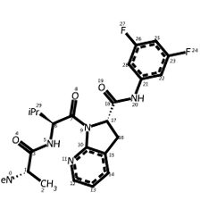 CN[C@@H](C)C(=O)N[C@H](C(=O)N1c2ncccc2C[C@H]1C(=O)Nc1cc(F)cc(F)c1)C(C)C